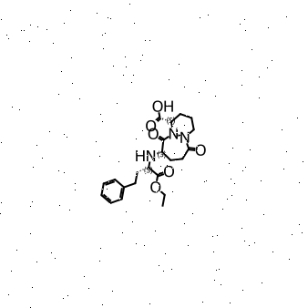 CCOC(=O)[C@H](CCc1ccccc1)N[C@H]1CCC(=O)N2CCC[C@@H](C(=O)O)N2C1=O